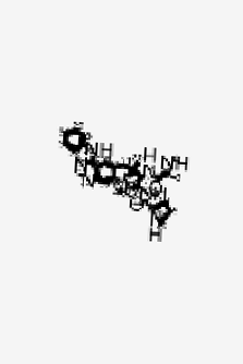 CN[C@@H](C)C(=O)N[C@H](C(=O)NC(=O)[C@@H]1CCCN1)C(C)(C)Cc1cc2c(Nc3ccccc3)ncnc2cc1OC